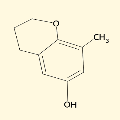 Cc1cc(O)cc2c1OCCC2